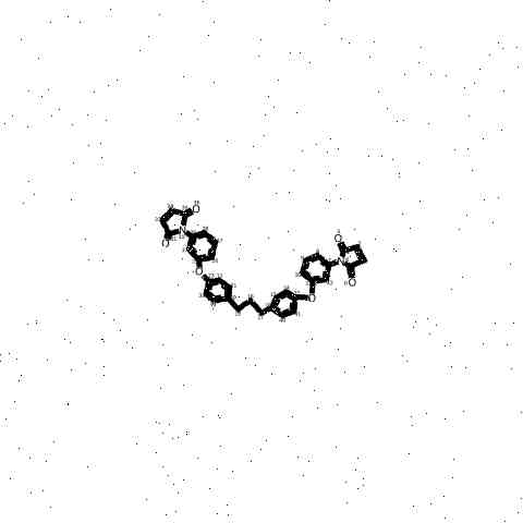 O=C1C=CC(=O)N1c1cccc(Oc2ccc(CCCc3ccc(Oc4cccc(N5C(=O)C=CC5=O)c4)cc3)cc2)c1